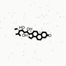 CC[C@@H](C(C)C)[C@H](O)[C@@H](O)[C@@H](O)[C@H]1CCC2C3CCC4CC(=O)CC[C@]4(C)C3CC[C@@]21C